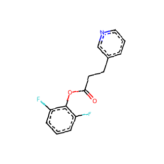 O=C(CCc1cccnc1)Oc1c(F)cccc1F